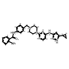 CC(C)c1ccccc1C(=O)Nc1ccc(CN2CCN(c3nccc(Nc4cc(C5CC5)[nH]n4)n3)CC2)cc1